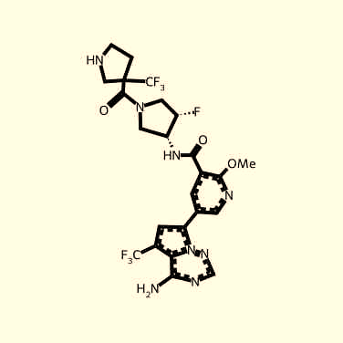 COc1ncc(-c2cc(C(F)(F)F)c3c(N)ncnn23)cc1C(=O)N[C@@H]1CN(C(=O)C2(C(F)(F)F)CCNC2)C[C@@H]1F